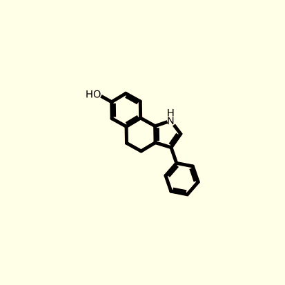 Oc1ccc2c(c1)CCc1c(-c3ccccc3)c[nH]c1-2